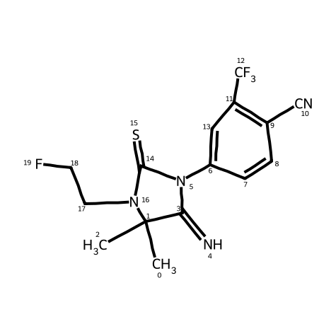 CC1(C)C(=N)N(c2ccc(C#N)c(C(F)(F)F)c2)C(=S)N1CCF